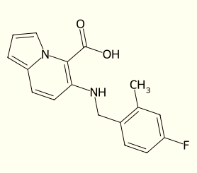 Cc1cc(F)ccc1CNc1ccc2cccn2c1C(=O)O